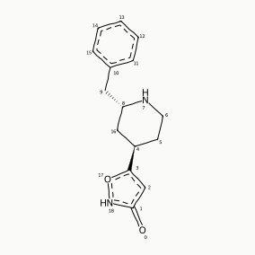 O=c1cc([C@@H]2CCN[C@@H](Cc3ccccc3)C2)o[nH]1